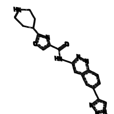 Cn1cc(-c2ccc3nnc(NC(=O)c4coc(C5CCNCC5)n4)cc3c2)nn1